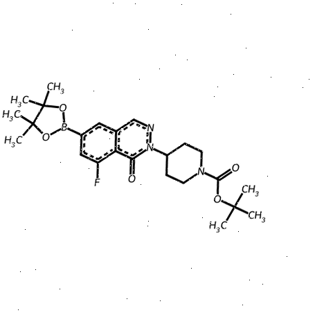 CC(C)(C)OC(=O)N1CCC(n2ncc3cc(B4OC(C)(C)C(C)(C)O4)cc(F)c3c2=O)CC1